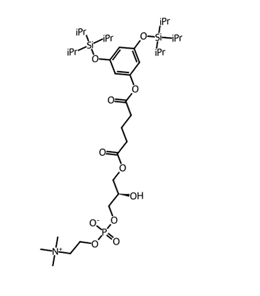 CC(C)[Si](Oc1cc(OC(=O)CCCC(=O)OC[C@@H](O)COP(=O)([O-])OCC[N+](C)(C)C)cc(O[Si](C(C)C)(C(C)C)C(C)C)c1)(C(C)C)C(C)C